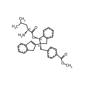 COC(=O)c1ccc(C[C@]2(C3=Cc4ccccc4C3)Cc3ccccc3[C@@H]2OC(=O)[C@@H](N)CC(C)C)cc1